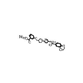 COC(=O)c1cccc(OCC2CCN(c3ccc(NC(=O)c4ccc5c(c4)OCCO5)cn3)CC2)c1